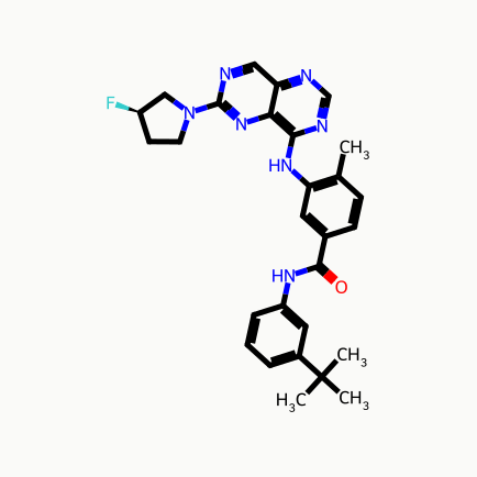 Cc1ccc(C(=O)Nc2cccc(C(C)(C)C)c2)cc1Nc1ncnc2cnc(N3CC[C@@H](F)C3)nc12